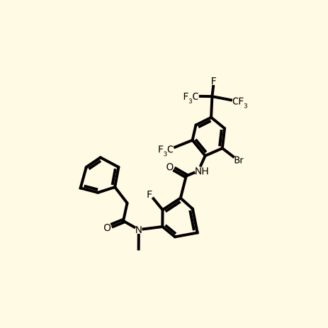 CN(C(=O)Cc1ccccc1)c1cccc(C(=O)Nc2c(Br)cc(C(F)(C(F)(F)F)C(F)(F)F)cc2C(F)(F)F)c1F